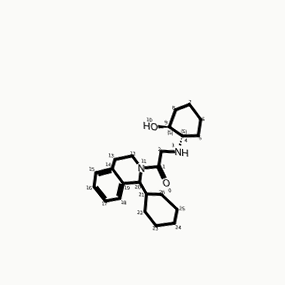 O=C(CN[C@H]1CCCC[C@@H]1O)N1CCc2ccccc2C1C1CCCCC1